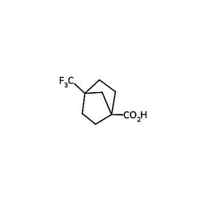 O=C(O)C12CCC(C(F)(F)F)(CC1)C2